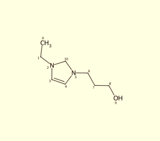 CCN1C=CN(CCCO)C1